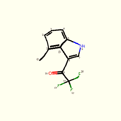 Cc1cccc2[nH]cc(C(=O)C(F)(F)F)c12